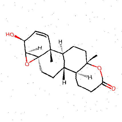 C[C@]12CC[C@H]3[C@@H](CC[C@]45O[C@H]4[C@@H](O)C=C[C@]35C)[C@@H]1CCC(=O)O2